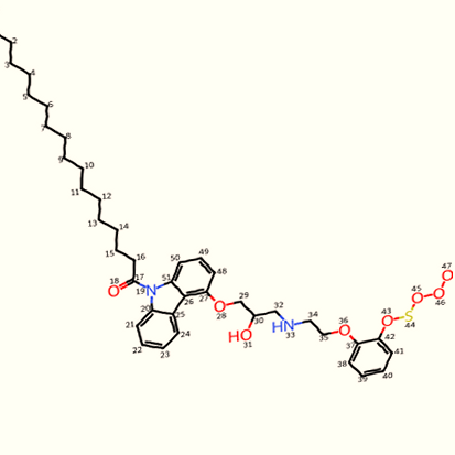 CCCCCCCCCCCCCCCCCC(=O)n1c2ccccc2c2c(OCC(O)CNCCOc3ccccc3OSOOO)cccc21